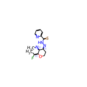 C/N=C1C(=N\NC(=S)c2ccccn2)/CCOC/1=C(/C)F